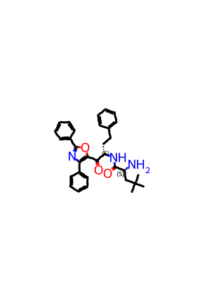 CC(C)(C)C[C@H](N)C(=O)N[C@@H](CCc1ccccc1)C(=O)c1oc(-c2ccccc2)nc1-c1ccccc1